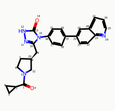 O=C(C1CC1)N1CC[C@@H](Cc2n[nH]c(=O)n2-c2ccc(-c3ccc4ncccc4c3)cc2)C1